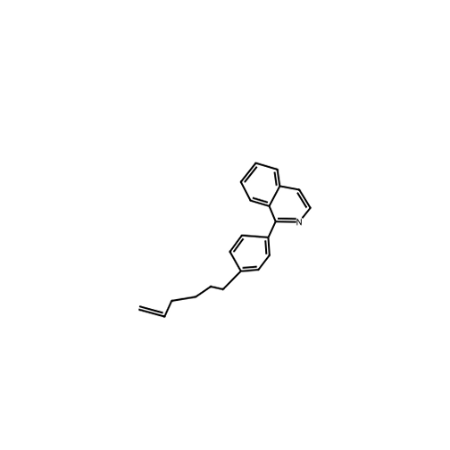 C=CCCCCc1ccc(-c2nccc3ccccc23)cc1